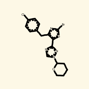 Clc1ccc(Cc2nc(Br)sc2-c2ncn(C3CCCCO3)n2)cc1